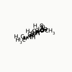 CCN(C)CCNC(=O)C[S+]([O-])Cc1nc(-c2ccc(OC)c(OC)c2)oc1C